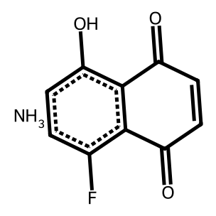 N.O=C1C=CC(=O)c2c(F)ccc(O)c21